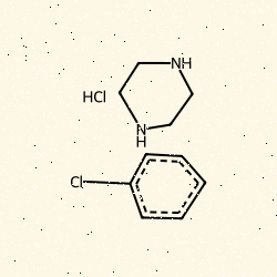 C1CNCCN1.Cl.Clc1ccccc1